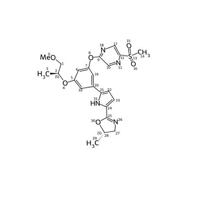 COC[C@H](C)Oc1cc(Oc2cnc(S(C)(=O)=O)cn2)cc(-c2ccc(C3=NC[C@H](C)O3)[nH]2)c1